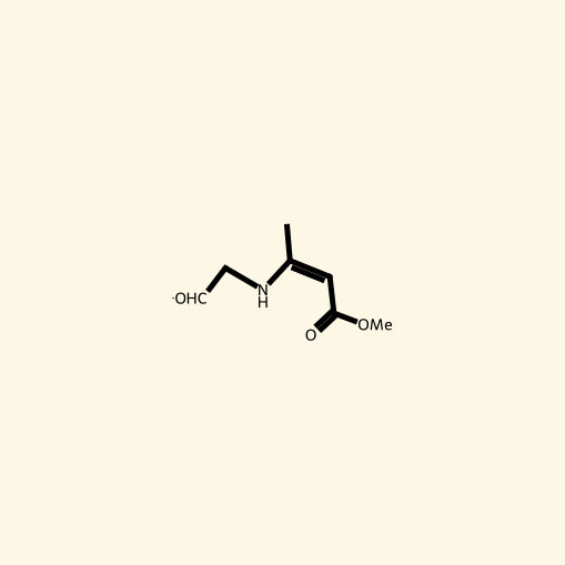 COC(=O)C=C(C)NC[C]=O